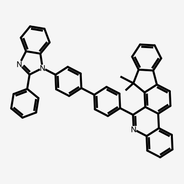 CC1(C)c2ccccc2-c2ccc3c(c(-c4ccc(-c5ccc(-n6c(-c7ccccc7)nc7ccccc76)cc5)cc4)nc4ccccc43)c21